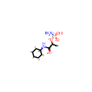 CC(OP(N)(=O)O)C(=O)NC1CCCCC1